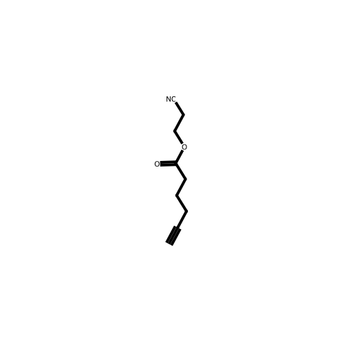 C#CCCCC(=O)OCCC#N